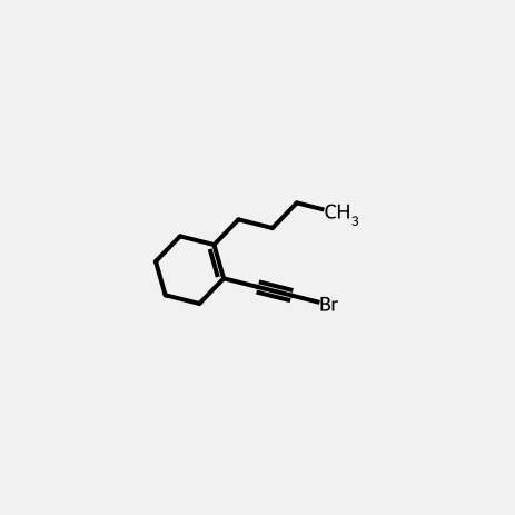 CCCCC1=C(C#CBr)CCCC1